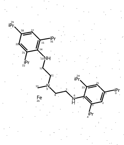 CC(C)c1cc(C(C)C)c(NCCN(C)CCNc2c(C(C)C)cc(C(C)C)cc2C(C)C)c(C(C)C)c1.[Fe]